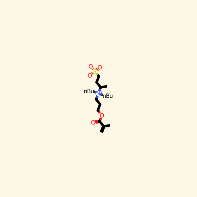 C=C(C)C(=O)OCCC[N+](CCCC)(CCCC)C(C)CCS(=O)(=O)[O-]